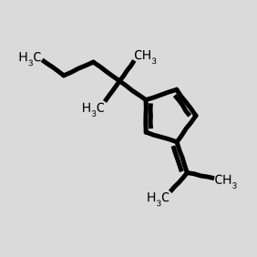 CCCC(C)(C)C1=CC(=C(C)C)C=C1